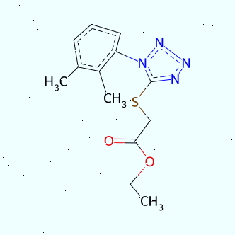 CCOC(=O)CSc1nnnn1-c1cccc(C)c1C